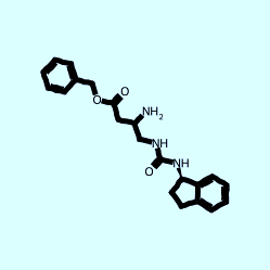 NC(CNC(=O)N[C@@H]1CCc2ccccc21)CC(=O)OCc1ccccc1